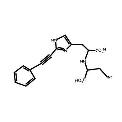 CC(C)CC(NC(Cc1c[nH]c(C#Cc2ccccc2)n1)C(=O)O)C(=O)O